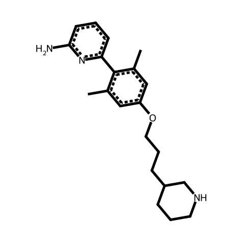 Cc1cc(OCCCC2CCCNC2)cc(C)c1-c1cccc(N)n1